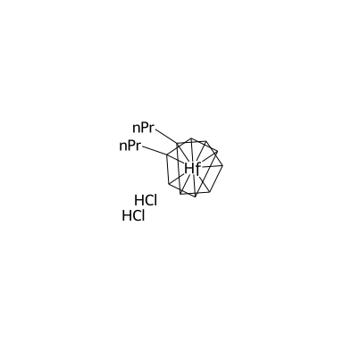 CCC[C]12[CH]3[CH]4[CH]5[CH]1[Hf]45321678[CH]2[CH]1[CH]6[C]7(CCC)[CH]28.Cl.Cl